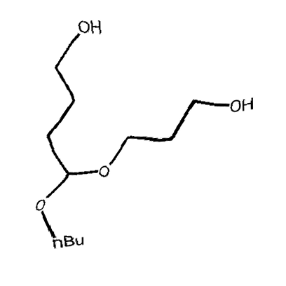 CCCCOC(CCCO)OCCCO